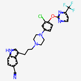 N#Cc1ccc2[nH]cc(CCCN3CCN(c4ccc(Oc5nccc(C(F)(F)F)n5)c(Cl)c4)CC3)c2c1